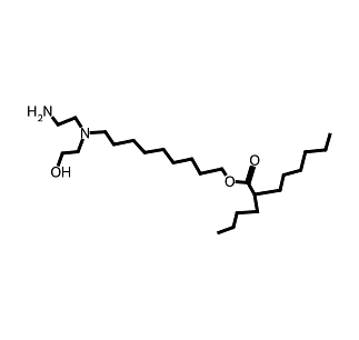 CCCCCCC(CCCC)C(=O)OCCCCCCCCCN(CCN)CCO